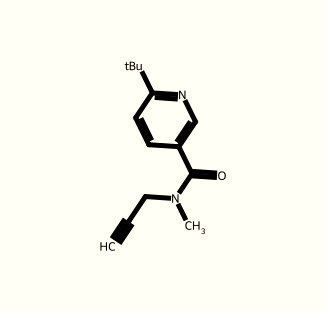 C#CCN(C)C(=O)c1ccc(C(C)(C)C)nc1